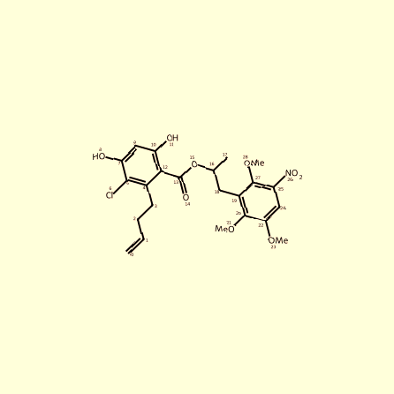 C=CCCc1c(Cl)c(O)cc(O)c1C(=O)OC(C)Cc1c(OC)c(OC)cc([N+](=O)[O-])c1OC